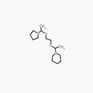 CC(OCCOC(C)N1CCCC1)N1CCCCC1